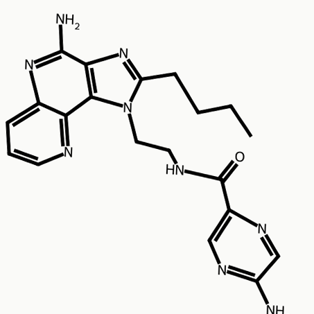 CCCCc1nc2c(N)nc3cccnc3c2n1CCNC(=O)c1cnc(N)cn1